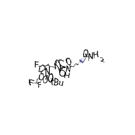 CC(C)(C)OC(=O)n1c(Cn2cccc(NC(=O)CCC/C=C/C(N)=O)c2=O)cc2cc(F)cc(OCC(F)F)c21